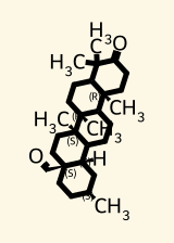 C[C@H]1CC[C@]2(C=O)CC[C@@]3(C)C(CCC4[C@@]5(C)CCC(=O)C(C)(C)C5CC[C@]43C)[C@@H]2C1